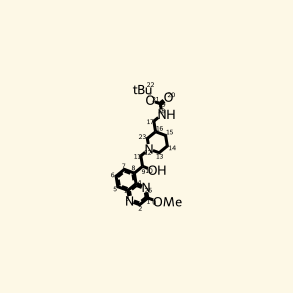 COc1cnc2cccc(C(O)CN3CCCC(CNC(=O)OC(C)(C)C)C3)c2n1